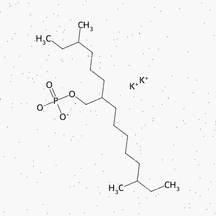 CCC(C)CCCCCC(CCCC(C)CC)COP(=O)([O-])[O-].[K+].[K+]